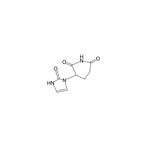 O=C1CCC(n2cc[nH]c2=O)C(=O)N1